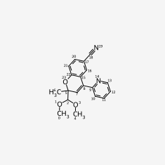 COC(OC)C1(C)C=C(c2ccccn2)c2cc(C#N)ccc2O1